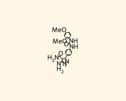 COc1ccc(NC(=O)Nc2ccc(-c3nn(C)c(N)c3C(N)=O)cc2)c(OC)c1